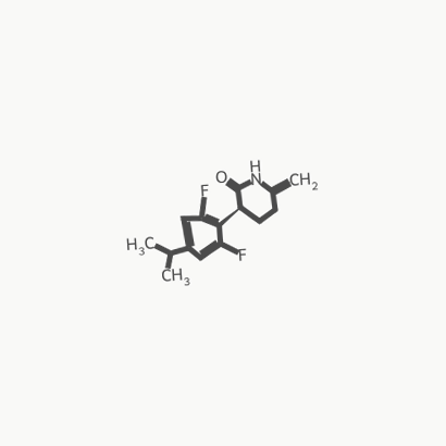 C=C1CC[C@@H](c2c(F)cc(C(C)C)cc2F)C(=O)N1